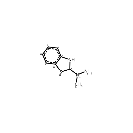 CN(N)C1Nc2ccccc2S1